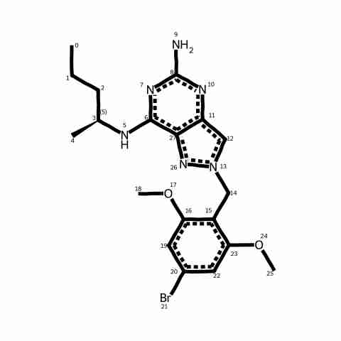 CCC[C@H](C)Nc1nc(N)nc2cn(Cc3c(OC)cc(Br)cc3OC)nc12